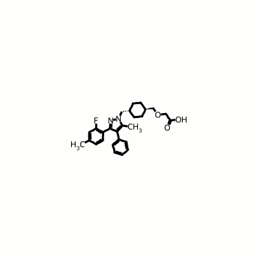 Cc1ccc(-c2nn(C[C@H]3CC[C@H](COCC(=O)O)CC3)c(C)c2-c2ccccc2)c(F)c1